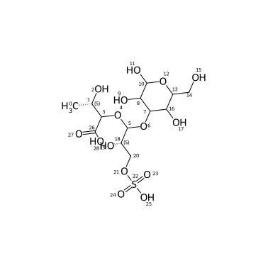 C[C@H](O)C(OC(OC1C(O)C(O)OC(CO)C1O)[C@@H](O)COS(=O)(=O)O)C(=O)O